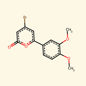 COc1ccc(-c2cc(Br)cc(=O)o2)cc1OC